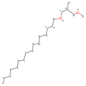 CCCCCCCCCCCCCCCCOCC(C)COC